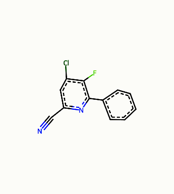 N#Cc1cc(Cl)c(F)c(-c2ccccc2)n1